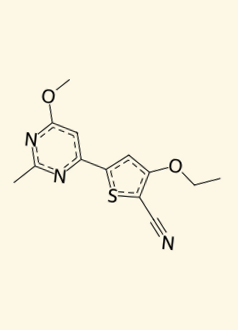 CCOc1cc(-c2cc(OC)nc(C)n2)sc1C#N